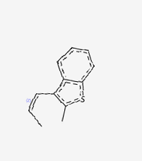 C/C=C\c1c(C)sc2ccccc12